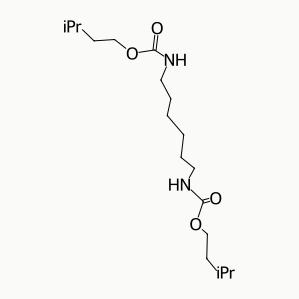 CC(C)CCOC(=O)NCCCCCCNC(=O)OCCC(C)C